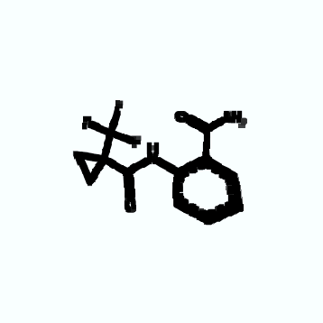 NC(=O)c1ccccc1NC(=O)C1(C(F)(F)F)CC1